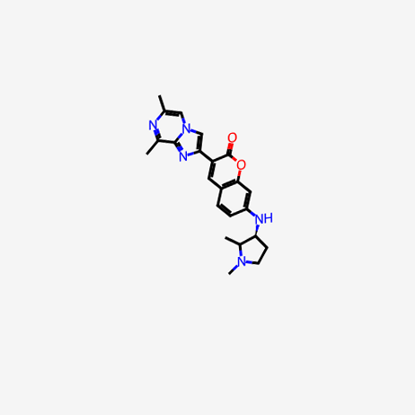 Cc1cn2cc(-c3cc4ccc(N[C@H]5CCN(C)C5C)cc4oc3=O)nc2c(C)n1